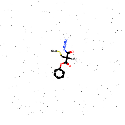 CC(C)(C)SCC(C)(C(=O)N=[N+]=[N-])C(=O)Oc1ccccc1